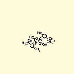 Cc1ccc(C(C)C)cc1CN(CCN(CC(=O)O)Cc1cc(C(C)C)ccc1O)CC(=O)O